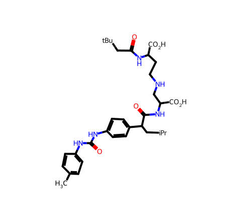 Cc1ccc(NC(=O)Nc2ccc(C(CC(C)C)C(=O)NC(CNCCC(NC(=O)CC(C)(C)C)C(=O)O)C(=O)O)cc2)cc1